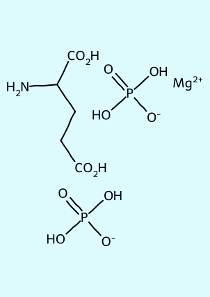 NC(CCC(=O)O)C(=O)O.O=P([O-])(O)O.O=P([O-])(O)O.[Mg+2]